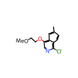 COCCOc1cnc(Cl)c2ccc(C)cc12